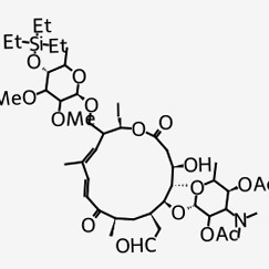 CC[Si](CC)(CC)O[C@@H]1C(C)O[C@@H](OCC2/C=C(C)/C=C/C(=O)[C@H](C)C[C@H](CC=O)[C@H](O[C@@H]3OC(C)[C@@H](OC(C)=O)C(N(C)C)C3OC(C)=O)[C@@H](C)[C@H](O)CC(=O)O[C@@H]2I)C(OC)C1OC